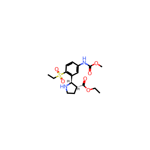 CCOC(=O)[C@@H]1CCN[C@H]1c1cc(NC(=O)OC)ccc1S(=O)(=O)CC